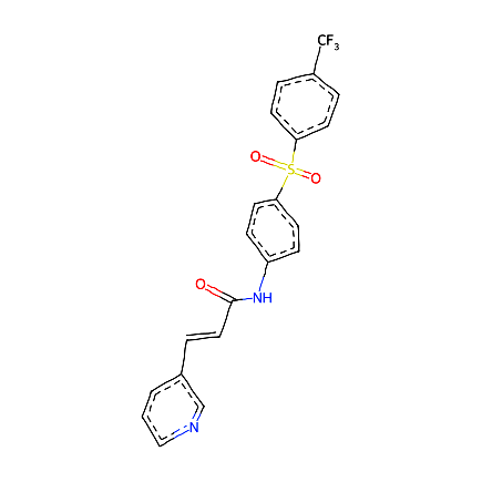 O=C(/C=C/c1cccnc1)Nc1ccc(S(=O)(=O)c2ccc(C(F)(F)F)cc2)cc1